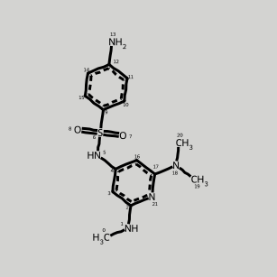 CNc1cc(NS(=O)(=O)c2ccc(N)cc2)cc(N(C)C)n1